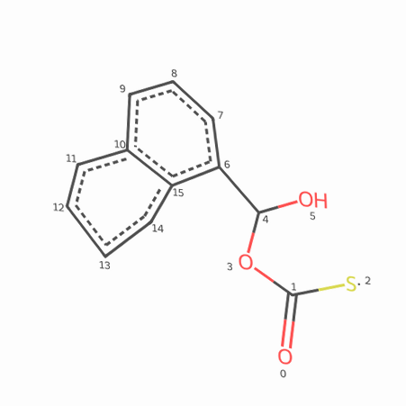 O=C([S])OC(O)c1cccc2ccccc12